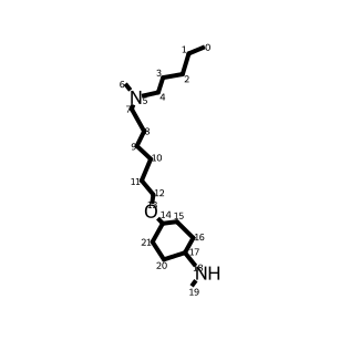 CCCCCN(C)CCCCCCOC1CCC(NC)CC1